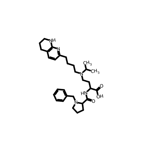 CC(C)N(CCCCc1ccc2c(n1)NCCC2)CCC(NC(=O)C1CCCN1Cc1ccccc1)C(=O)O